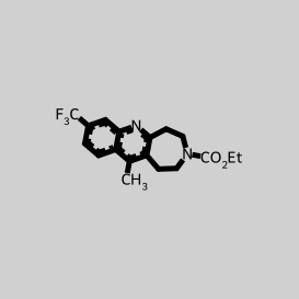 CCOC(=O)N1CCc2nc3cc(C(F)(F)F)ccc3c(C)c2CC1